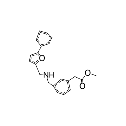 COC(=O)Cc1cccc(CNCc2ccc(-c3ccccc3)o2)c1